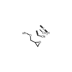 C=C=C.C=CC#N.CC(=O)O.CCCOCC1CO1